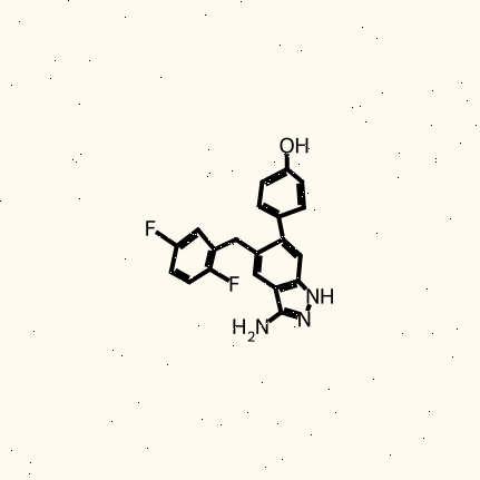 Nc1n[nH]c2cc(-c3ccc(O)cc3)c(Cc3cc(F)ccc3F)cc12